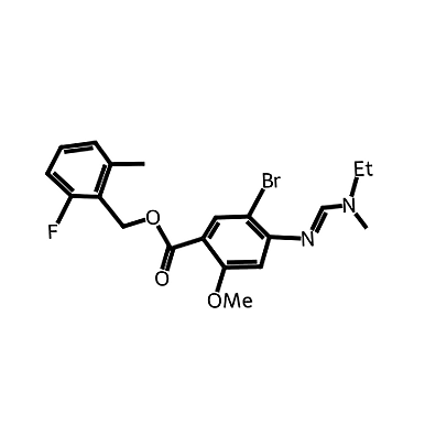 CCN(C)/C=N/c1cc(OC)c(C(=O)OCc2c(C)cccc2F)cc1Br